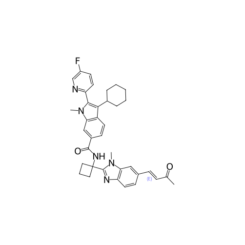 CC(=O)/C=C/c1ccc2nc(C3(NC(=O)c4ccc5c(C6CCCCC6)c(-c6ccc(F)cn6)n(C)c5c4)CCC3)n(C)c2c1